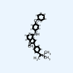 C=C(c1ccc(-c2cc3c(Nc4ccc(Oc5ccccc5)cc4)nccc3n2C)cc1)N(C)C